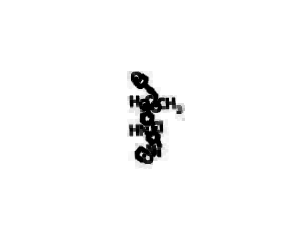 CC(C)(CC#CC1CCOCC1)OC(=O)c1ccc(Nc2cc3c(cnn3C3CCCCO3)cc2Cl)cc1